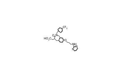 O=C(O)CC1Cc2ccc(OCCCNc3ncccn3)cc2CN(Cc2ccc(C(F)(F)F)cc2)C1=O